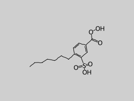 CCCCCCCc1ccc(C(=O)OO)cc1S(=O)(=O)O